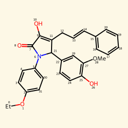 CCOc1ccc(N2C(=O)C(O)=C(CC=Cc3ccccc3)C2c2ccc(O)c(OC)c2)cc1